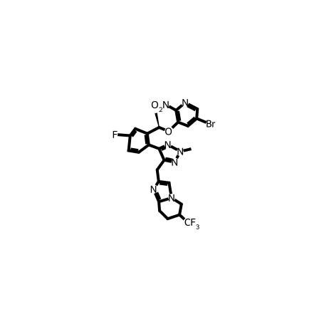 C[C@@H](Oc1cc(Br)cnc1[N+](=O)[O-])c1cc(F)ccc1-c1nn(C)nc1Cc1cn2c(n1)CCC(C(F)(F)F)C2